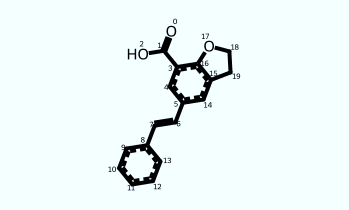 O=C(O)c1cc(C=Cc2ccccc2)cc2c1OCC2